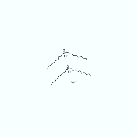 CCCCCCCCCCP(=O)([O-])CCCCCCCCCC.CCCCCCCCCCP(=O)([O-])CCCCCCCCCC.[Fe+2]